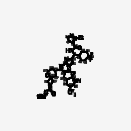 CCn1nccc1C(=O)N[C@H](c1cn2nc(C[C@H]3C[C@@H](C(F)(F)F)CNC3=O)c(C3CCOC4(C3)CN(C(=O)OC(C)(C)C)C4)nc2n1)C1CCC(F)(F)CC1